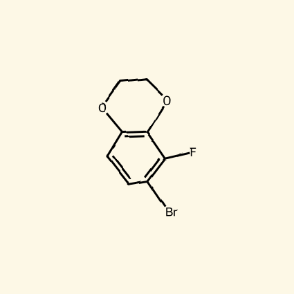 Fc1c(Br)ccc2c1OCCO2